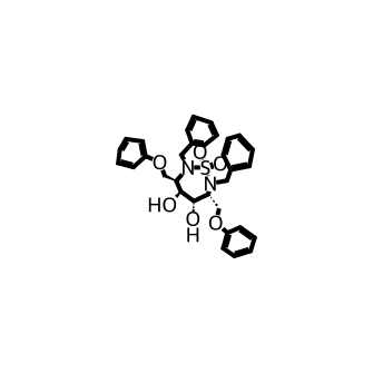 O=S1(=O)N(Cc2ccccc2)[C@H](COc2ccccc2)[C@H](O)[C@@H](O)[C@@H](COc2ccccc2)N1Cc1ccccc1